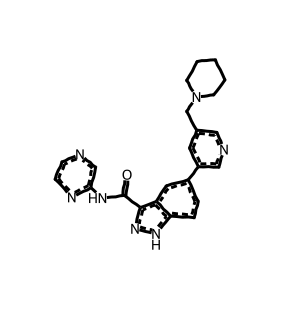 O=C(Nc1cnccn1)c1n[nH]c2ccc(-c3cncc(CN4CCCCC4)c3)cc12